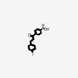 O=C(/C=C/c1ccc(I)cc1)c1ccc(BO)cc1